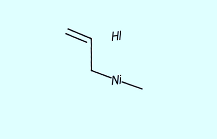 C=C[CH2][Ni][CH3].I